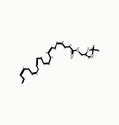 CC/C=C\C/C=C\C/C=C\C/C=C\C/C=C\C/C=C\CCC(=O)OCC1COC(C)(C)O1